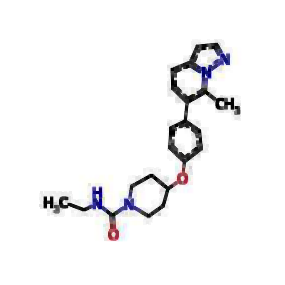 CCNC(=O)N1CCC(Oc2ccc(-c3ccc4ccnn4c3C)cc2)CC1